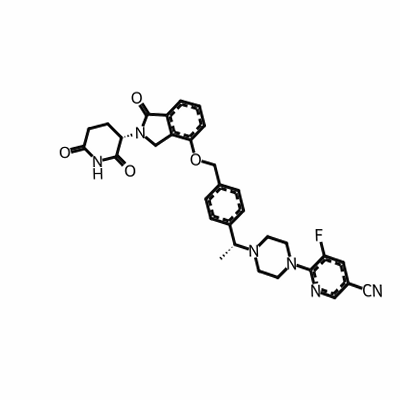 C[C@H](c1ccc(COc2cccc3c2CN([C@H]2CCC(=O)NC2=O)C3=O)cc1)N1CCN(c2ncc(C#N)cc2F)CC1